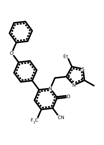 CCc1sc(C)nc1Cn1c(-c2ccc(Oc3ccccc3)cc2)cc(C(F)(F)F)c(C#N)c1=O